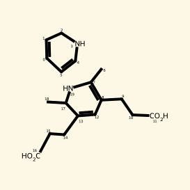 C1=CCNC=C1.CC1=C(CCC(=O)O)C=C(CCC(=O)O)C(C)N1